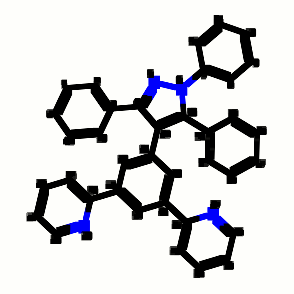 c1ccc(-c2nn(-c3ccccc3)c(-c3ccccc3)c2-c2cc(-c3ccccn3)cc(-c3ccccn3)c2)cc1